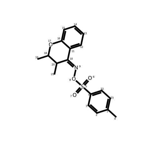 Cc1ccc(S(=O)(=O)O/N=C2/c3ccccc3OC(C)C2C)cc1